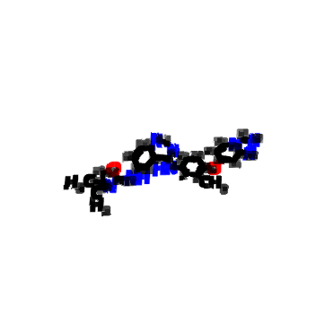 Cc1cc(Nc2ncnc3ccc(NC4=NC(C)(C)CO4)cc23)ccc1Oc1ccn2cnnc2c1